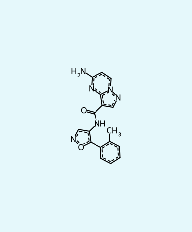 Cc1ccccc1-c1oncc1NC(=O)c1cnn2ccc(N)nc12